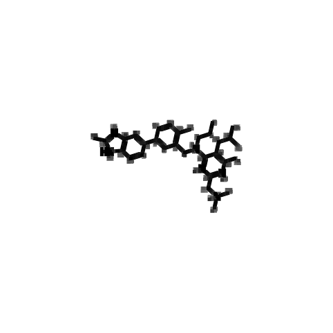 CCCN(Cc1cc(-c2ccc3[nH]c(C)nc3c2)ccc1C)c1nc(CN(C)C)nc(C)c1CC(C)C